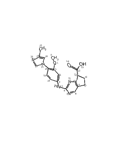 COc1cc(Nc2ncc3c(n2)C(C(=O)O)CC3)ccc1-n1cnc(C)c1